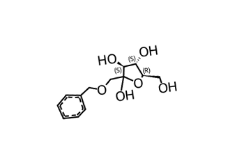 OC[C@H]1OC(O)(COCc2ccccc2)[C@@H](O)[C@@H]1O